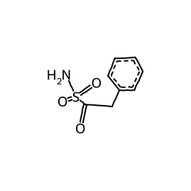 NS(=O)(=O)C(=O)Cc1ccccc1